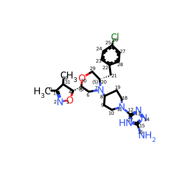 CC1=NOC([C@H]2CN(C3CCN(c4nnc(N)[nH]4)CC3)[C@@H](Cc3ccc(Cl)cc3)CO2)C1C